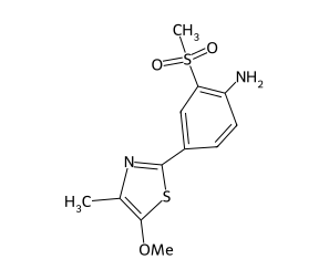 COc1sc(-c2ccc(N)c(S(C)(=O)=O)c2)nc1C